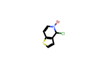 ClC1c2ccsc2C=CN1Br